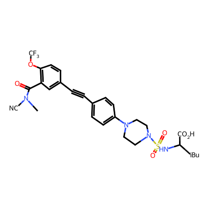 CCC(C)C(NS(=O)(=O)N1CCN(c2ccc(C#Cc3ccc(OC(F)(F)F)c(C(=O)N(C)C#N)c3)cc2)CC1)C(=O)O